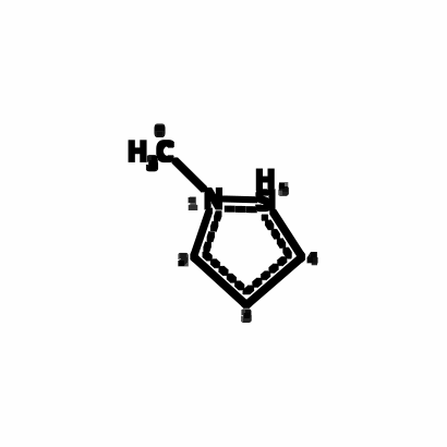 Cn1ccc[siH]1